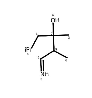 CC(C)CC(C)(O)C(C)C=N